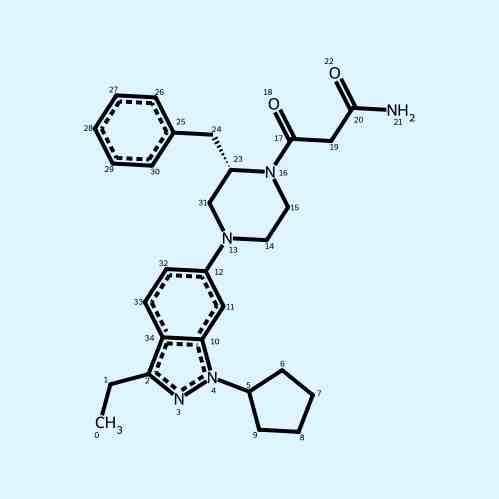 CCc1nn(C2CCCC2)c2cc(N3CCN(C(=O)CC(N)=O)[C@@H](Cc4ccccc4)C3)ccc12